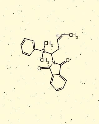 C/C=C\CC(N1C(=O)c2ccccc2C1=O)[Si](C)(C)c1ccccc1